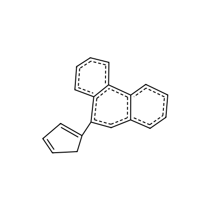 C1=CCC(c2cc3ccccc3c3ccccc23)=C1